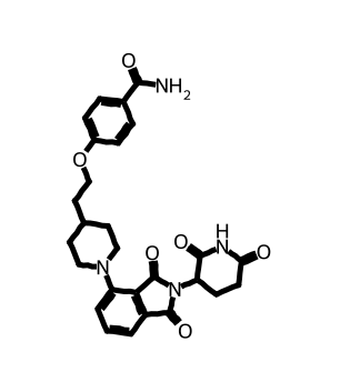 NC(=O)c1ccc(OCCC2CCN(c3cccc4c3C(=O)N(C3CCC(=O)NC3=O)C4=O)CC2)cc1